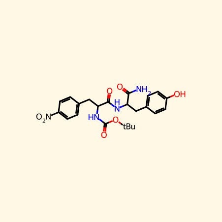 CC(C)(C)OC(=O)NC(Cc1ccc([N+](=O)[O-])cc1)C(=O)NC(Cc1ccc(O)cc1)C(N)=O